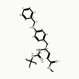 COC(=O)C=C[C@H](Cc1ccc(OCc2ccccc2)cc1)NC(=O)OC(C)(C)C